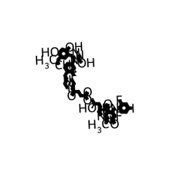 CC(C)c1cc(-c2nnc(O)n2-c2ccc(CN3CCN(C(=O)CCC(=O)OC[C@H](O)Cn4cnc5c(c(Nc6ccc(I)cc6F)c(F)c(=O)n5C)c4=O)CC3)c(F)c2)c(O)cc1O